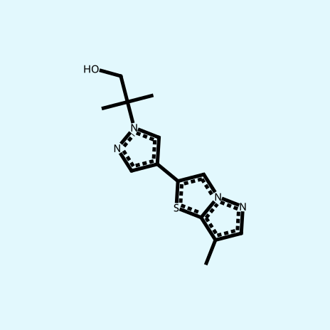 Cc1cnn2cc(-c3cnn(C(C)(C)CO)c3)sc12